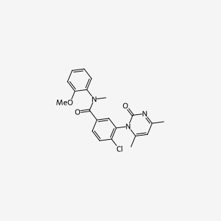 COc1ccccc1N(C)C(=O)c1ccc(Cl)c(-n2c(C)cc(C)nc2=O)c1